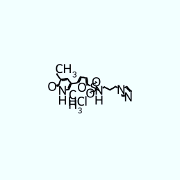 CCc1cc(-c2ccc(S(=O)(=O)NCCCn3ccnc3)o2)c(C)[nH]c1=O.Cl